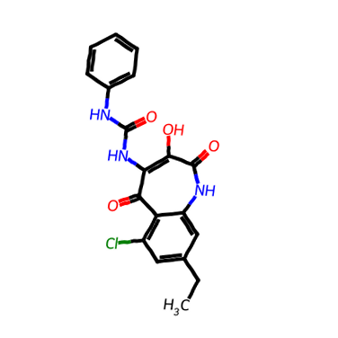 CCc1cc(Cl)c2c(=O)c(NC(=O)Nc3ccccc3)c(O)c(=O)[nH]c2c1